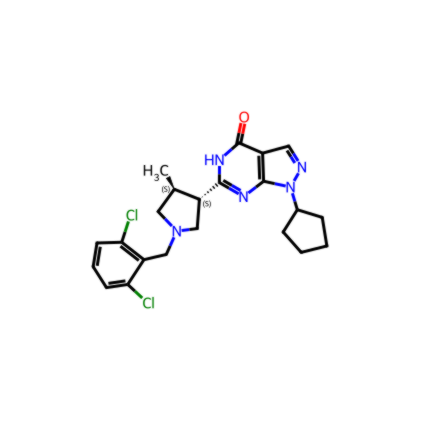 C[C@@H]1CN(Cc2c(Cl)cccc2Cl)C[C@H]1c1nc2c(cnn2C2CCCC2)c(=O)[nH]1